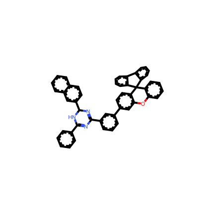 c1ccc(C2=NC(c3cccc(-c4ccc5c(c4)Oc4ccccc4C54c5ccccc5-c5ccccc54)c3)=NC(c3ccc4ccccc4c3)N2)cc1